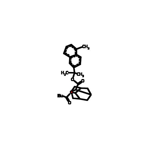 CCC(C)C(=O)OC1C2CC3CC1CC(C2)C3C(=O)OC(C)(C)c1ccc2c(C)cccc2c1